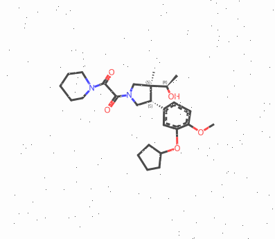 COc1ccc([C@@H]2CN(C(=O)C(=O)N3CCCCC3)C[C@@]2(C)[C@@H](C)O)cc1OC1CCCC1